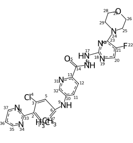 C\C=C(/C(Cl)=C\C(=C/C)Nc1ccc(C(=O)NNc2ncc(F)c(N3CCOCC3)n2)nc1)c1ncccn1